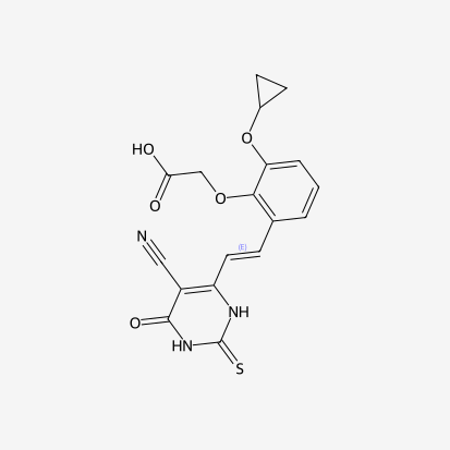 N#Cc1c(/C=C/c2cccc(OC3CC3)c2OCC(=O)O)[nH]c(=S)[nH]c1=O